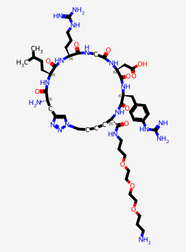 CC(C)CC[C@@H]1NC(=O)[C@@H](N)Cc2cn(nn2)CCCC[C@@H](C(=O)NCCCOCCOCCOCCCN)NC(=O)[C@H](Cc2ccc(NC(=N)N)cc2)NC(=O)[C@H](CC(=O)O)NC(=O)CNC(=O)[C@H](CCCNC(=N)N)NC1=O